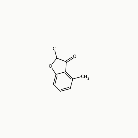 Cc1cccc2c1C(=O)C(Cl)O2